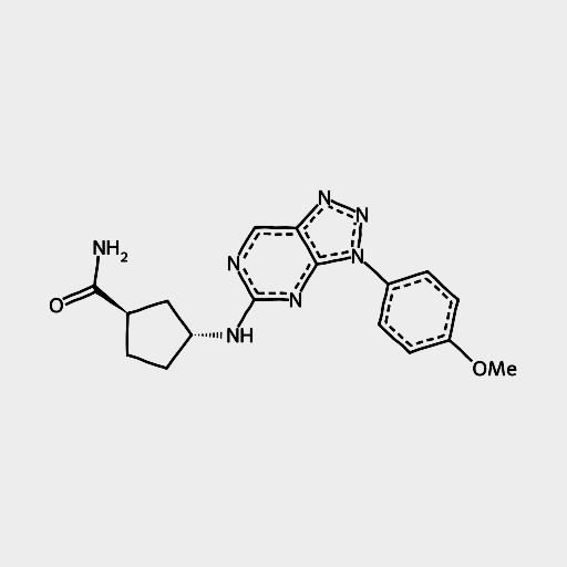 COc1ccc(-n2nnc3cnc(N[C@@H]4CC[C@@H](C(N)=O)C4)nc32)cc1